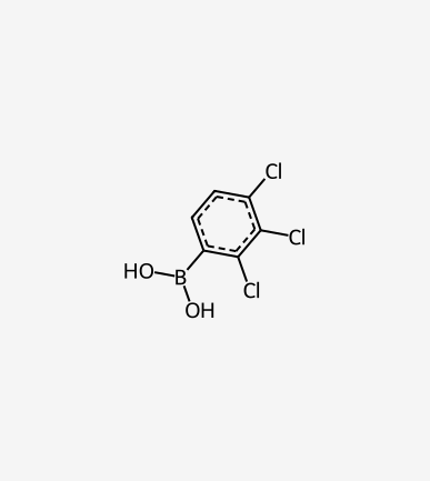 OB(O)c1ccc(Cl)c(Cl)c1Cl